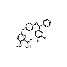 COc1ccc(CN2CCC(OC(c3ccccc3)c3ccc(F)c(F)c3)CC2)nc1C(=O)O